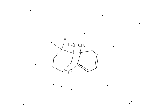 CC1=CC=CCC1(C)[C@@]1(N)CCCCC1(F)F